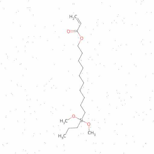 C=CC(=O)OCCCCCCCCCC[Si](CCC)(OC)OC